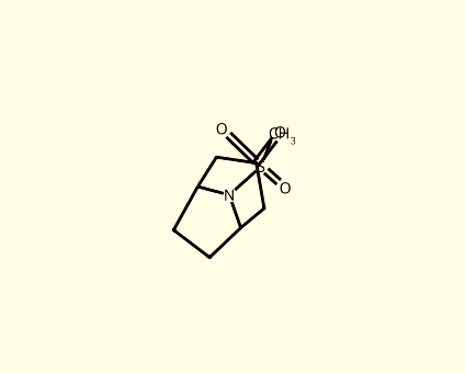 CS(=O)(=O)N1C2CCC1CC(=O)C2